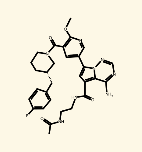 COc1ncc(-c2cc(C(=O)NCCNC(C)=O)c3c(N)ncnn23)cc1C(=O)N1CCC[C@@H](Cc2ccc(F)cc2)C1